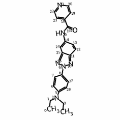 CCN(CC)c1ccc(-n2nc3ccc(NC(=O)c4ccncc4)cc3n2)cc1